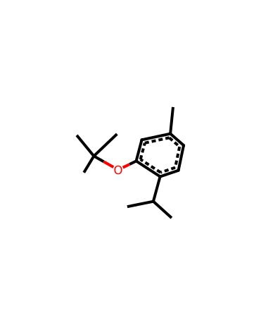 Cc1ccc(C(C)C)c(OC(C)(C)C)c1